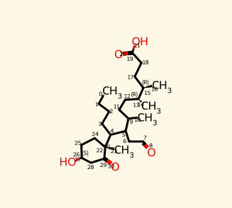 CCCCC(C(CC=O)C(C)CC[C@@H](C)[C@H](C)CCC(=O)O)[C@@]1(C)CC[C@H](O)CC1=O